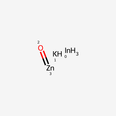 [InH3].[KH].[O]=[Zn]